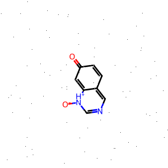 O=C1C=CC2=CN=C[NH+]([O-])C2=C1